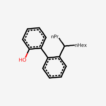 CCCCCCC(CCC)c1ccccc1-c1ccccc1O